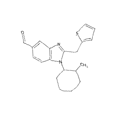 CC1CCCCC1n1c(Cc2cccs2)nc2cc(C=O)ccc21